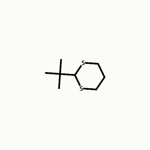 CC(C)(C)C1SCCCS1